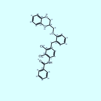 O=C(Nc1ccc(Cc2ccccc2OCC2COc3ccccc3O2)c(Cl)c1Cl)c1ccccc1